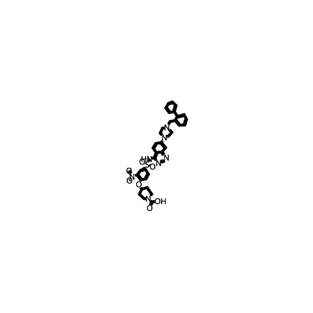 O=C(O)N1CCC(Oc2ccc(S(=O)(=O)Nc3ncnc4cc(N5CCN(Cc6ccccc6-c6ccccc6)CC5)ccc34)cc2[N+](=O)[O-])CC1